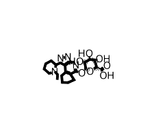 CCN1CCCCC1c1nn(C)c2nc(O[C@@H]3O[C@H](C(=O)O)[C@H](O)[C@H](O)[C@H]3O)c3c(c12)CCCC3